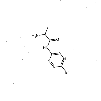 CC(N)C(=O)Nc1cnc(Br)cn1